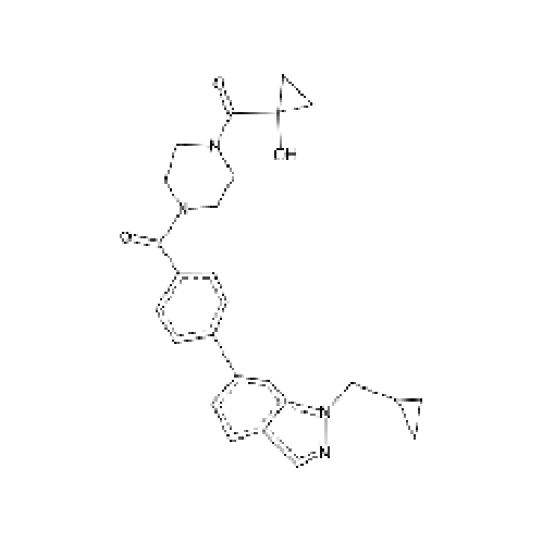 O=C(c1ccc(-c2ccc3cnn(CC4CC4)c3c2)cc1)N1CCN(C(=O)C2(O)CC2)CC1